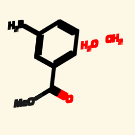 Bc1cccc(C(=O)OC)c1.O.O